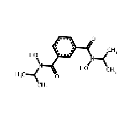 CC(C)N(O)C(=O)c1cccc(C(=O)N(O)C(C)C)c1